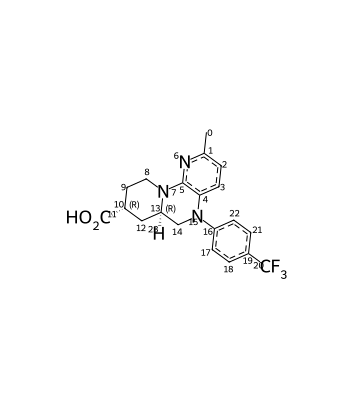 Cc1ccc2c(n1)N1CC[C@@H](C(=O)O)C[C@@H]1CN2c1ccc(C(F)(F)F)cc1